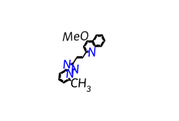 COc1cc(C=Cc2nc3cccc(C)n3n2)nc2ccccc12